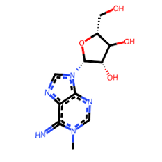 Cn1cnc2c(ncn2[C@@H]2O[C@H](CO)C(O)[C@@H]2O)c1=N